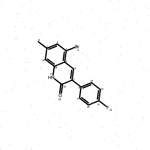 Cc1cc(Br)c2cc(-c3ccc(F)cc3)c(=O)[nH]c2c1